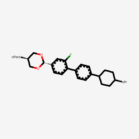 CCCCC[C@H]1CO[C@H](c2ccc(-c3ccc(C4CCC(CCC)CC4)cc3)c(F)c2)OC1